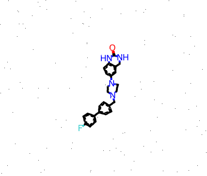 O=C1NCc2cc(N3CCN(Cc4ccc(-c5ccc(F)cc5)cc4)CC3)ccc2N1